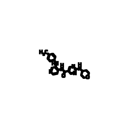 Cc1ccc(Nc2cnccc2NC(=O)c2cnc(NC3CCOCC3)nc2)cc1